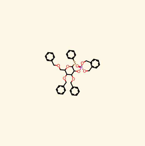 O=P1(OC2C(Sc3ccccc3)OC(COCc3ccccc3)C(OCc3ccccc3)C2OCc2ccccc2)OCc2ccccc2CO1